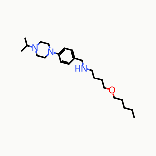 CCCCCOCCCCNCc1ccc(N2CCN(C(C)C)CC2)cc1